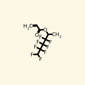 C=CC(=O)OC(C)C(F)(F)C(F)(F)C(F)(F)C(F)F